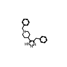 c1ccc(Cc2nn[nH]c2C2CCN(Cc3ccccc3)CC2)cc1